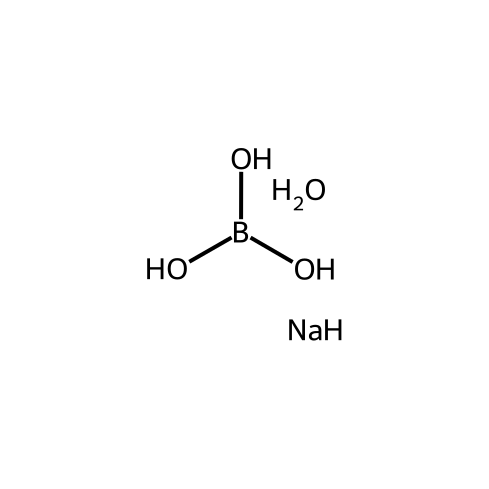 O.OB(O)O.[NaH]